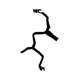 C=C(CC#N)CC(C)CC(C)C